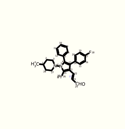 CC1CCN(n2c(-c3ccccc3)c(-c3ccc(F)cc3)c(/C=C/C=O)c2C(C)C)CC1